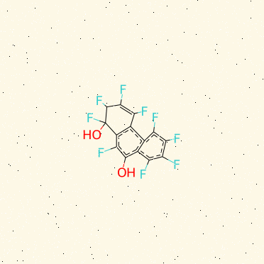 Oc1c(F)c2c(c3c(F)c(F)c(F)c(F)c13)C(F)=C(F)C(F)C2(O)F